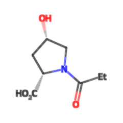 CCC(=O)N1C[C@@H](O)C[C@H]1C(=O)O